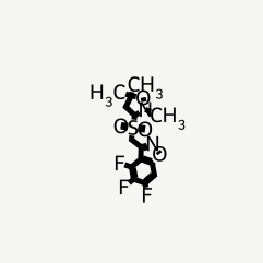 CN1OC(C)(C)CC1S(=O)(=O)Cc1noc2cc(F)c(F)c(F)c12